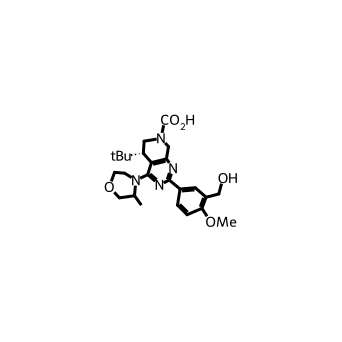 COc1ccc(-c2nc3c(c(N4CCOCC4C)n2)[C@H](C(C)(C)C)CN(C(=O)O)C3)cc1CO